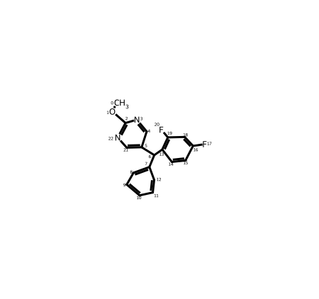 COc1ncc(C(c2ccccc2)c2ccc(F)cc2F)cn1